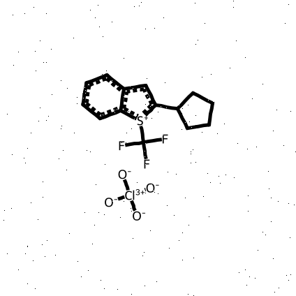 FC(F)(F)[s+]1c(C2CCCC2)cc2ccccc21.[O-][Cl+3]([O-])([O-])[O-]